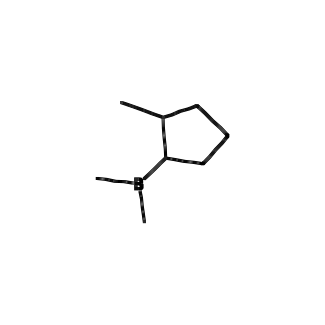 CB(C)C1CCCC1C